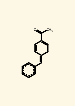 CC(=O)C1=CCC(=Cc2ccccc2)C=C1